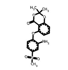 CC1(C)OC(=O)c2c(Oc3ccc(S(C)(=O)=O)cc3N)cccc2O1